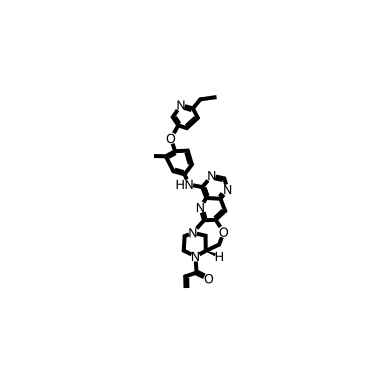 C=CC(=O)N1CCN2C[C@@H]1COc1cc3ncnc(Nc4ccc(Oc5ccc(CC)nc5)c(C)c4)c3nc12